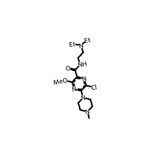 CCN(CC)CCNC(=O)c1nc(Cl)c(N2CCN(C)CC2)nc1OC